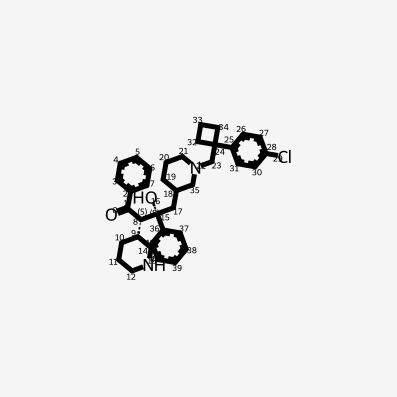 O=C(c1ccccc1)[C@@H](C1CCCNC1)[C@@](O)(CC1CCCN(CC2(c3ccc(Cl)cc3)CCC2)C1)c1ccccc1